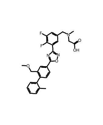 COCc1cc(-c2nc(-c3cc(CN(C)CC(=O)O)cc(F)c3F)no2)ccc1-c1ccccc1C